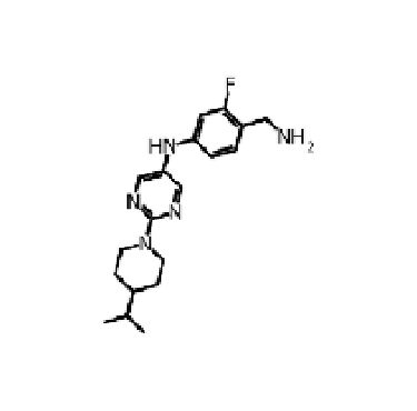 CC(C)C1CCN(c2ncc(Nc3ccc(CN)c(F)c3)cn2)CC1